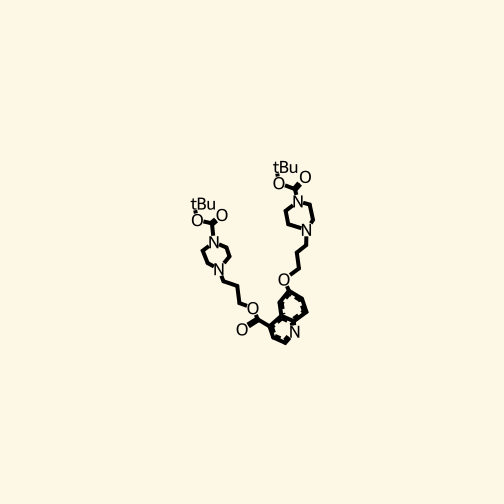 CC(C)(C)OC(=O)N1CCN(CCCOC(=O)c2ccnc3ccc(OCCCN4CCN(C(=O)OC(C)(C)C)CC4)cc23)CC1